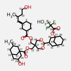 CC(/C=C1\CCCC(C(=O)OCC2(COC(=O)C34CC(C)CC(CC(O)C3)C4)COC(C3CC4CCCC(OC(=O)C(F)(F)S(=O)(=O)O)(C4)C3)OC2)C1)CCO